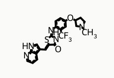 CN1CCC(Oc2ccc(N=C3NC(=O)C(=Cc4c[nH]c5ncccc45)S3)c(C(F)(F)F)c2)C1